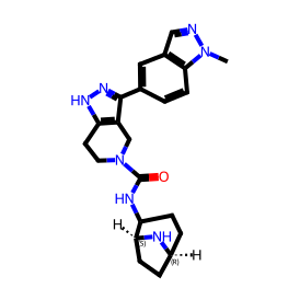 Cn1ncc2cc(-c3n[nH]c4c3CN(C(=O)NC3CC[C@H]5CC[C@@H]3N5)CC4)ccc21